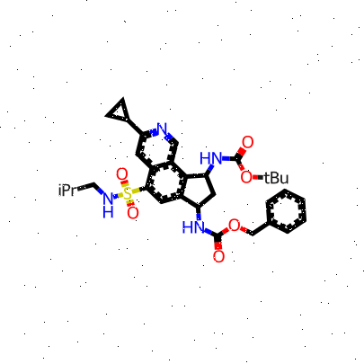 CC(C)CNS(=O)(=O)c1cc2c(c3cnc(C4CC4)cc13)C(NC(=O)OC(C)(C)C)CC2NC(=O)OCc1ccccc1